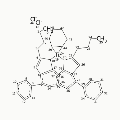 CCCCC1=Cc2c(-c3ccccc3)cccc2[CH]1[Ti+2]1([CH]2C(CCCC)=Cc3c(-c4ccccc4)cccc32)[CH]2CCCC[CH]21.[Cl-].[Cl-]